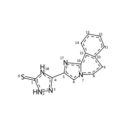 S=c1[nH]nc(-c2cn3ccc4ccccc4c3n2)[nH]1